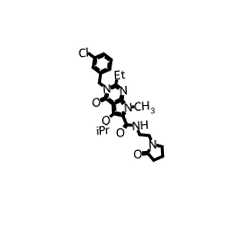 CCc1nc2c(c(OC(C)C)c(C(=O)NCCN3CCCC3=O)n2C)c(=O)n1Cc1cccc(Cl)c1